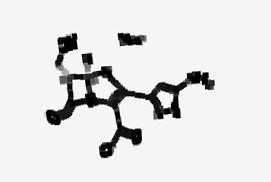 Nc1cc(C2=C(C(=O)[O-])N3C(=O)[C@H](CO)[C@H]3S2)ns1.[Na+]